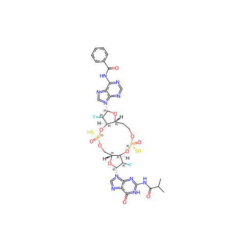 CC(C)C(=O)Nc1nc2c(ncn2[C@@H]2O[C@@H]3CO[P@](=O)(S)O[C@H]4[C@@H](F)[C@H](n5cnc6c(NC(=O)c7ccccc7)ncnc65)O[C@@H]4CCO[P@@](=O)(S)O[C@H]3[C@H]2F)c(=O)[nH]1